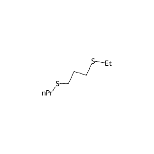 CCCSCCCSCC